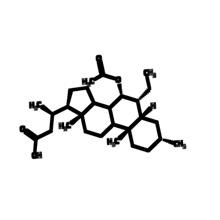 CC[C@H]1[C@@H](OC(C)=O)C2C3CC[C@H]([C@H](C)CC(=O)O)[C@@]3(C)CCC2[C@@]2(C)CC[C@@H](C)C[C@@H]12